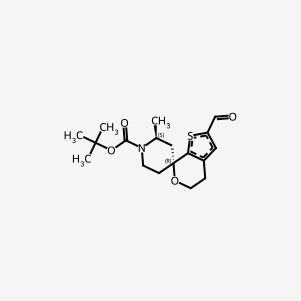 C[C@H]1C[C@@]2(CCN1C(=O)OC(C)(C)C)OCCc1cc(C=O)sc12